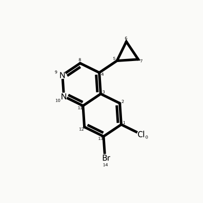 Clc1cc2c(C3CC3)cnnc2cc1Br